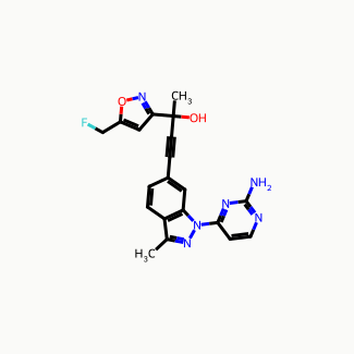 Cc1nn(-c2ccnc(N)n2)c2cc(C#CC(C)(O)c3cc(CF)on3)ccc12